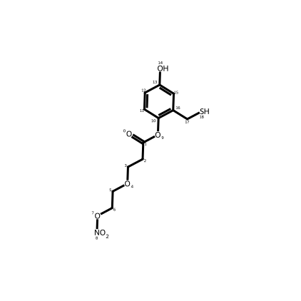 O=C(CCOCCO[N+](=O)[O-])Oc1ccc(O)cc1CS